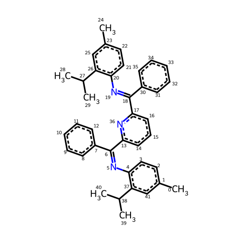 Cc1ccc(N=C(c2ccccc2)c2cccc(C(=Nc3ccc(C)cc3C(C)C)c3ccccc3)n2)c(C(C)C)c1